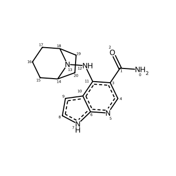 NC(=O)c1cnc2[nH]ccc2c1NN1C2CCCC1CC2